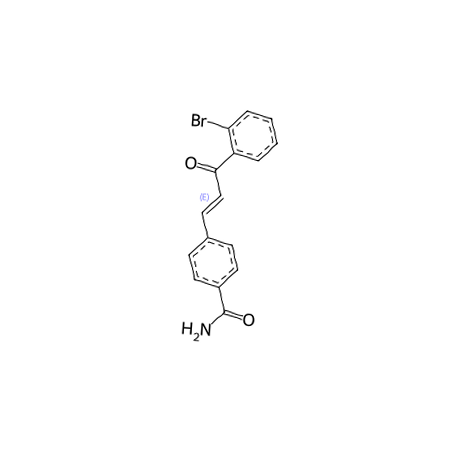 NC(=O)c1ccc(/C=C/C(=O)c2ccccc2Br)cc1